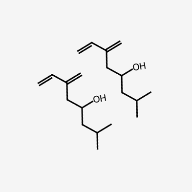 C=CC(=C)CC(O)CC(C)C.C=CC(=C)CC(O)CC(C)C